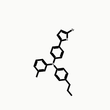 CCCc1ccc(N(c2ccc(-c3ccc(Br)s3)cc2)c2cccc(C)c2)cc1